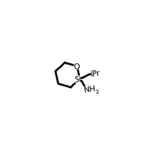 CC(C)[Si]1(N)CCCCO1